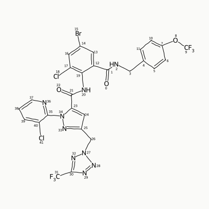 O=C(NCc1ccc(OC(F)(F)F)cc1)c1cc(Br)cc(Cl)c1NC(=O)c1cc(Cn2nnc(C(F)(F)F)n2)nn1-c1ncccc1Cl